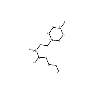 CCCCC(C)N(C)CCN1CCN(C)CC1